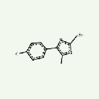 CC(C)(C)c1nc(-c2ccc(Cl)cc2)c(F)s1